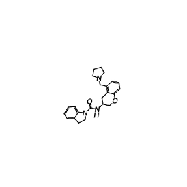 O=C(N[C@@H]1COc2cccc(CN3CCCC3)c2C1)N1CCc2ccccc21